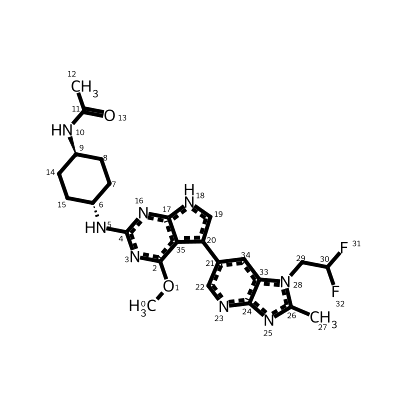 COc1nc(N[C@H]2CC[C@H](NC(C)=O)CC2)nc2[nH]cc(-c3cnc4nc(C)n(CC(F)F)c4c3)c12